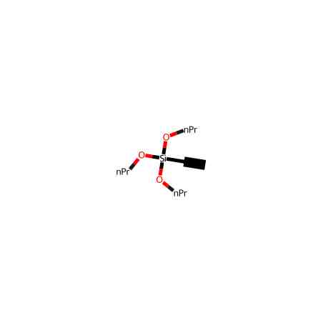 C#C[Si](OCCC)(OCCC)OCCC